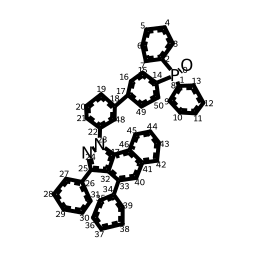 O=P(c1ccccc1)(c1ccccc1)c1ccc(-c2cccc(-n3nc(-c4ccccc4)c4c(-c5ccccc5)cc5ccccc5c43)c2)cc1